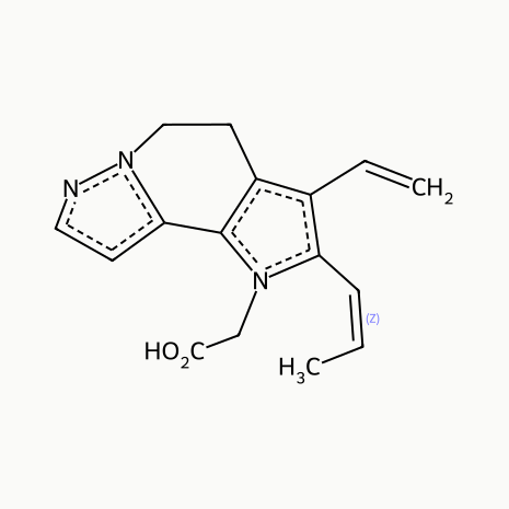 C=Cc1c2c(n(CC(=O)O)c1/C=C\C)-c1ccnn1CC2